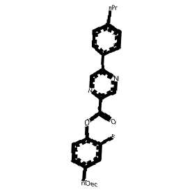 CCCCCCCCCCc1ccc(OC(=O)c2cnc(-c3ccc(CCC)cc3)cn2)c(F)c1